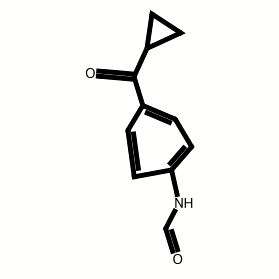 O=CNc1ccc(C(=O)C2CC2)cc1